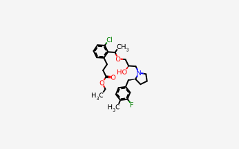 CCOC(=O)CCc1cccc(Cl)c1C(C)OC[C@H](O)CN1CCC[C@H]1Cc1ccc(C)c(F)c1